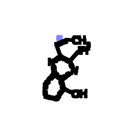 C/C=C\c1nc2cccc(O)c2nc1C(C)C